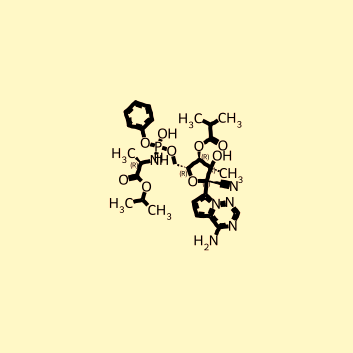 CC(C)OC(=O)[C@@H](C)N[PH](O)(OC[C@H]1O[C@@](C#N)(c2ccc3c(N)ncnn23)[C@](C)(O)[C@@H]1OC(=O)C(C)C)Oc1ccccc1